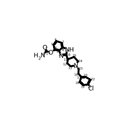 NC(=O)Oc1cccc2[nH]c(C3CCN(CCc4ccc(Cl)cc4)CC3)nc12